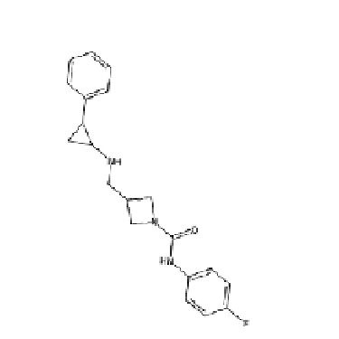 O=C(Nc1ccc(F)cc1)N1CC(CNC2CC2c2ccccc2)C1